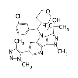 Cc1nnn(C)c1-c1cnc2c3c(c(C(C)(C)O)nn3C)n(C(c3cccc(Cl)c3)C3CCOCC3)c2c1